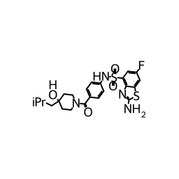 CC(C)CC1(O)CCN(C(=O)c2ccc(NS(=O)(=O)c3cc(F)cc4sc(N)nc34)cc2)CC1